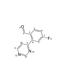 O=Cc1ccc(F)cc1-c1ccncn1